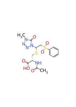 CC(=O)N[C@@H](CSC(CS(=O)(=O)c1ccccc1)n1nnn(C)c1=O)C(=O)O